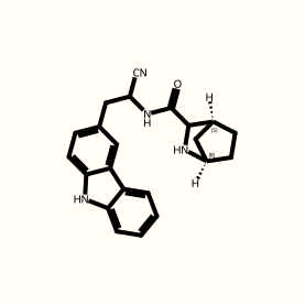 N#CC(Cc1ccc2[nH]c3ccccc3c2c1)NC(=O)C1N[C@@H]2CC[C@H]1C2